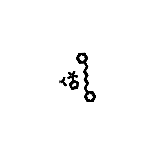 C(C=CCc1ccccc1)=CCc1ccccc1.CNC.[CH3][Ti]([CH3])([CH3])([CH3])[C]1=CC=CC1